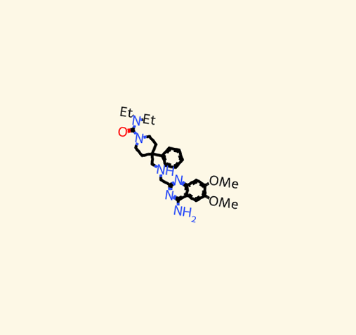 CCN(CC)C(=O)N1CCC(CNCc2nc(N)c3cc(OC)c(OC)cc3n2)(c2ccccc2)CC1